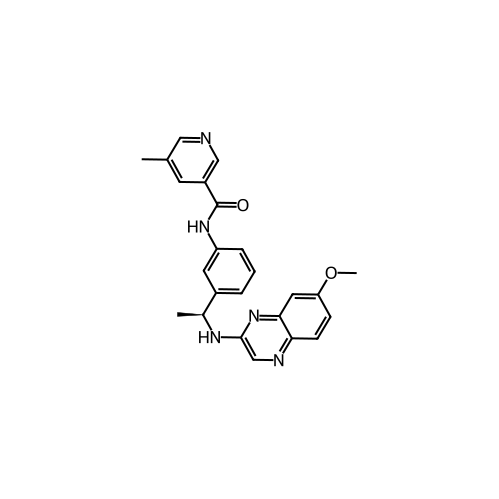 COc1ccc2ncc(N[C@@H](C)c3cccc(NC(=O)c4cncc(C)c4)c3)nc2c1